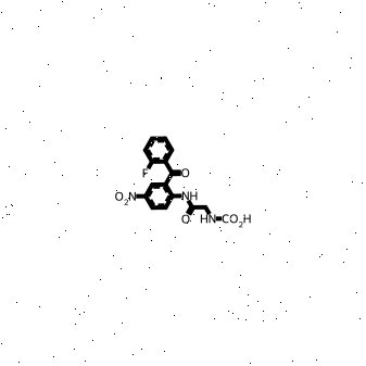 O=C(O)NCC(=O)Nc1ccc([N+](=O)[O-])cc1C(=O)c1ccccc1F